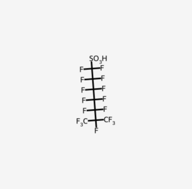 O=S(=O)(O)C(F)(F)C(F)(F)C(F)(F)C(F)(F)C(F)(F)C(F)(C(F)(F)F)C(F)(F)F